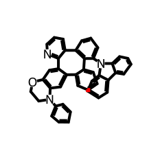 c1ccc(N2CCOc3cc4c(cc32)-c2ccccc2-c2c(cccc2-n2c3ccccc3c3ccccc32)-c2cccnc2-4)cc1